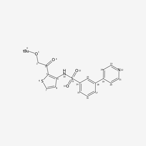 CC(C)(C)OCC(=O)c1sccc1NS(=O)(=O)c1cccc(-c2ccncc2)c1